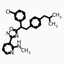 CNc1ncccc1-c1noc(C(Cc2ccc(CC(C)C)cc2)c2cccc(Cl)c2)n1